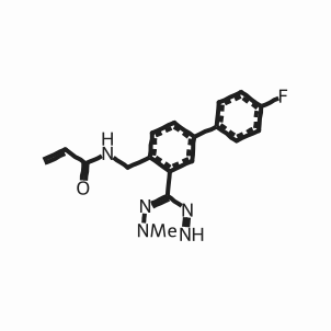 C=CC(=O)NCc1ccc(-c2ccc(F)cc2)cc1/C(N=N)=N/NC